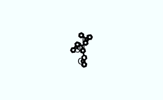 C1=CC(c2ccc(N(c3ccc4c5ccccc5n(-c5ccccc5)c4c3)c3cccc4c3sc3ccccc34)cc2)Cc2oc3ccccc3c21